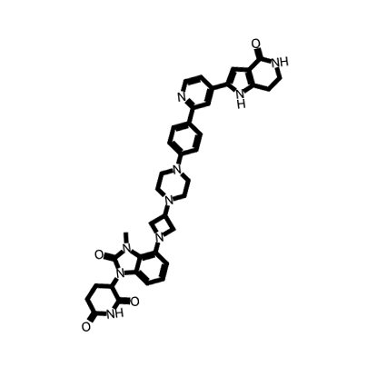 Cn1c(=O)n(C2CCC(=O)NC2=O)c2cccc(N3CC(N4CCN(c5ccc(-c6cc(-c7cc8c([nH]7)CCNC8=O)ccn6)cc5)CC4)C3)c21